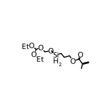 C=C(C)C(=O)OCCC[SiH2]OCOC(OCC)OCC